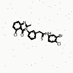 Cc1nc2cccc(Cl)c2c(=O)n1-c1cccc(CC(=S)Nc2ccc(Cl)c(Br)c2)c1